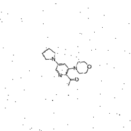 CC(=O)c1ncc(N2CCCC2)cc1N1CCOCC1